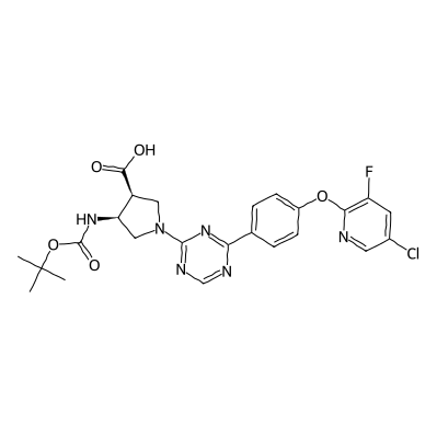 CC(C)(C)OC(=O)N[C@@H]1CN(c2ncnc(-c3ccc(Oc4ncc(Cl)cc4F)cc3)n2)C[C@@H]1C(=O)O